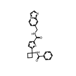 O=C(NC1(c2ccc(C(=O)NCc3ccn4ccnc4c3)s2)CCC1)c1ccccc1